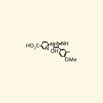 COc1ccc(/C(C(C)=N)=C(\O)Nc2ccc(C(=O)O)cn2)cc1C